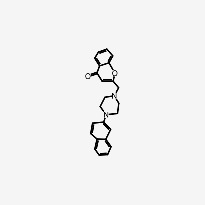 O=c1cc(CN2CCN(c3ccc4ccccc4c3)CC2)oc2ccccc12